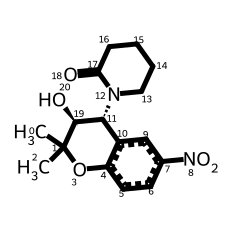 CC1(C)Oc2ccc([N+](=O)[O-])cc2[C@@H](N2CCCCC2=O)[C@@H]1O